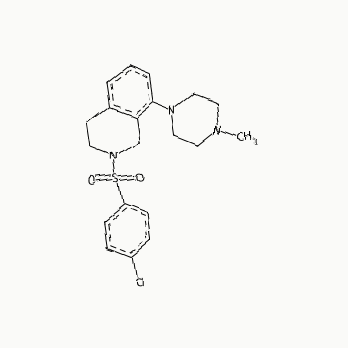 CN1CCN(c2cccc3c2CN(S(=O)(=O)c2ccc(Cl)cc2)CC3)CC1